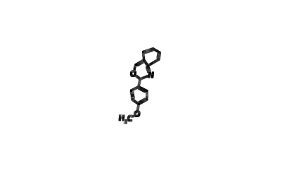 COc1ccc(C2N=c3ccccc3=CO2)cc1